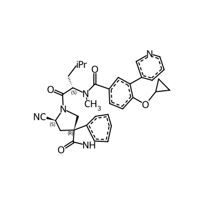 CC(C)C[C@@H](C(=O)N1C[C@]2(C[C@H]1C#N)C(=O)Nc1ccccc12)N(C)C(=O)c1ccc(OC2CC2)c(-c2cccnc2)c1